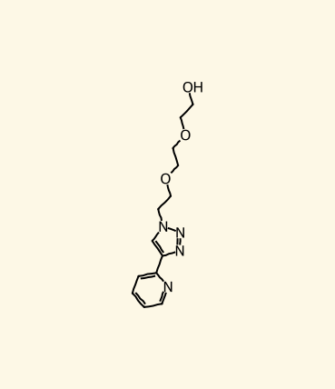 OCCOCCOCCn1cc(-c2ccccn2)nn1